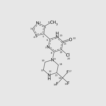 Cc1ncsc1-c1nc(N2CCNC(C(F)(F)F)C2)c(Cl)c(=O)[nH]1